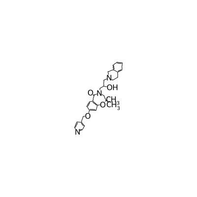 CC1(C)CN(CC(O)CN2CCc3ccccc3C2)C(=O)c2ccc(OCc3ccncc3)cc2O1